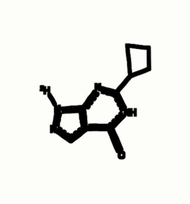 [2H]n1ncc2c(=O)[nH]c(C3CCC3)nc21